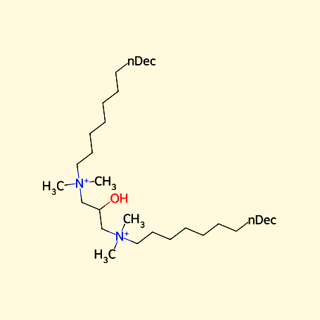 CCCCCCCCCCCCCCCCC[N+](C)(C)CC(O)C[N+](C)(C)CCCCCCCCCCCCCCCCC